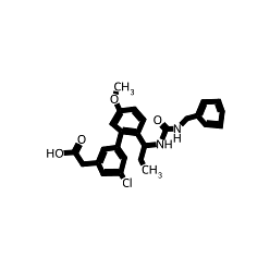 CCC(NC(=O)NCc1ccccc1)c1ccc(OC)cc1-c1cc(Cl)cc(CC(=O)O)c1